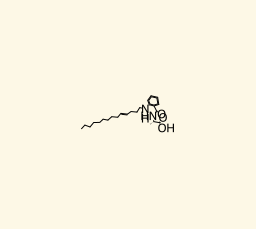 CCCCCCCCCC=CCCCNc1ccccc1C(=O)N[C@@H](C)C(=O)O